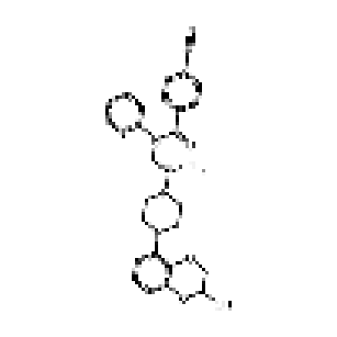 C[C@H](CN(C(=O)c1ccc(C#N)cc1)c1ccccn1)N1CCN(c2cccc3c2OCC(O)O3)CC1